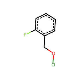 Fc1ccccc1COCl